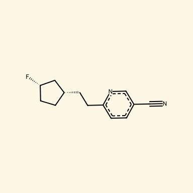 N#Cc1ccc(CC[C@@H]2CC[C@H](F)C2)nc1